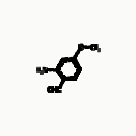 Nc1cc(OC(F)(F)F)ccc1C=O